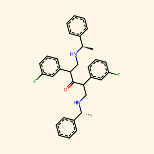 C[C@@H](NCC(C(=O)C(CN[C@H](C)c1ccccc1)c1cccc(F)c1)c1cccc(F)c1)c1ccccc1